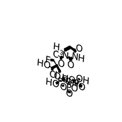 C[C@@H](O[C@](CF)(COP(=O)(O)OP(=O)(O)OP(=O)(O)O)[C@@H](O)Cl)n1ccc(=O)[nH]c1=O